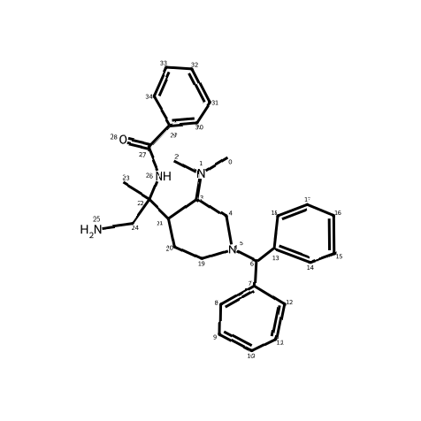 CN(C)C1CN(C(c2ccccc2)c2ccccc2)CCC1C(C)(CN)NC(=O)c1ccccc1